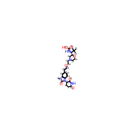 Cn1c(=O)n(C2CCC(=O)NC2=O)c2ccc(/C=C/OCCN3CCO[C@H](C(NC(=O)O)C(C)(C)C)C3)cc21